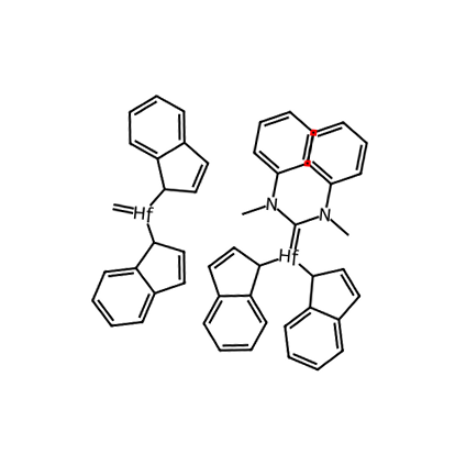 CN([C](N(C)c1ccccc1)=[Hf]([CH]1C=Cc2ccccc21)[CH]1C=Cc2ccccc21)c1ccccc1.[CH2]=[Hf]([CH]1C=Cc2ccccc21)[CH]1C=Cc2ccccc21